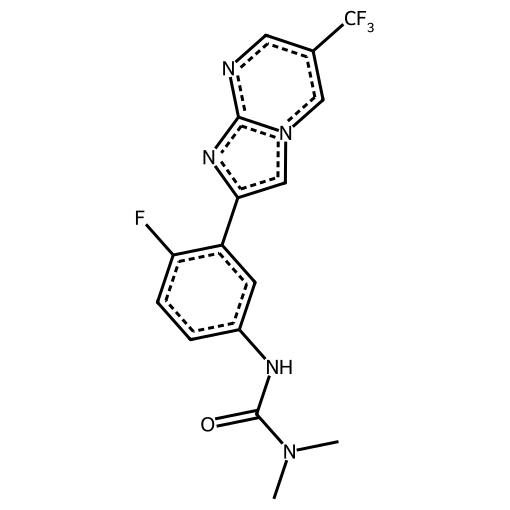 CN(C)C(=O)Nc1ccc(F)c(-c2cn3cc(C(F)(F)F)cnc3n2)c1